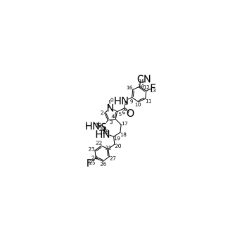 Cn1cc2c(c1C(=O)Nc1ccc(F)c(C#N)c1)CCC(Cc1ccc(F)cc1)NS2=N